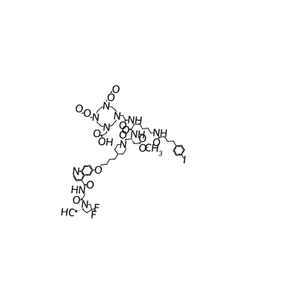 C#C[C@H]1CC(F)(F)CN1C(=O)CNC(=O)c1ccnc2ccc(OCCCCC3CCN(C(=O)[C@H](CC(=O)OC)NC(=O)[C@H](CCCCNC(=O)CCCc4ccc(I)cc4)NC(=O)CN4CCN(COC=O)CCN(COC=O)CCN(CC(=O)O)CC4)CC3)cc12